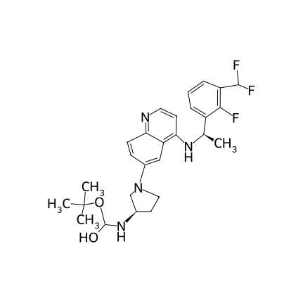 C[C@@H](Nc1ccnc2ccc(N3CC[C@@H](NC(O)OC(C)(C)C)C3)cc12)c1cccc(C(F)F)c1F